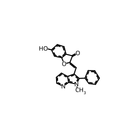 Cn1c(-c2ccccc2)c(C=C2Oc3cc(O)ccc3C2=O)c2cccnc21